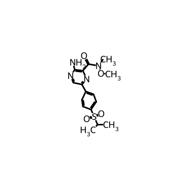 CON(C)C(=O)c1nc(-c2ccc(S(=O)(=O)C(C)C)cc2)cnc1N